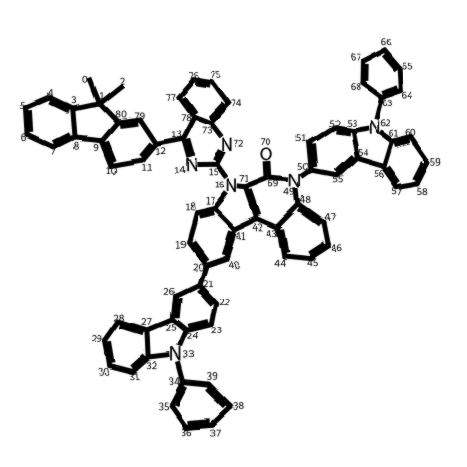 CC1(C)c2ccccc2-c2ccc(-c3nc(-n4c5ccc(-c6ccc7c(c6)c6ccccc6n7-c6ccccc6)cc5c5c6ccccc6n(-c6ccc7c(c6)c6ccccc6n7-c6ccccc6)c(=O)c54)nc4ccccc34)cc21